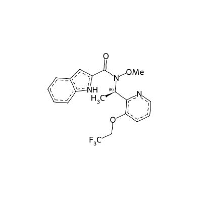 CON(C(=O)c1cc2ccccc2[nH]1)[C@H](C)c1ncccc1OCC(F)(F)F